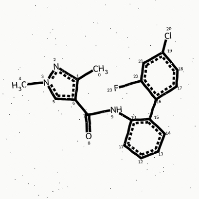 Cc1nn(C)cc1C(=O)Nc1ccccc1-c1ccc(Cl)cc1F